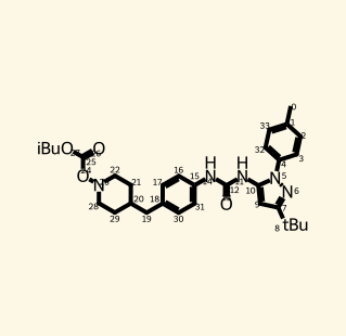 Cc1ccc(-n2nc(C(C)(C)C)cc2NC(=O)Nc2ccc(CC3CCN(OC(=O)OCC(C)C)CC3)cc2)cc1